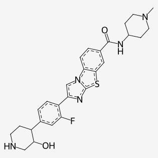 CN1CCC(NC(=O)c2ccc3c(c2)sc2nc(-c4ccc(C5CCNCC5O)cc4F)cn23)CC1